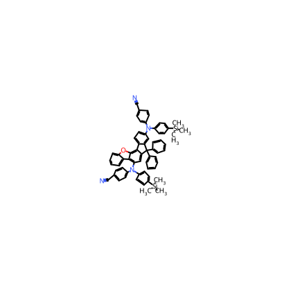 C[Si](C)(C)c1ccc(N(c2ccc(C#N)cc2)c2ccc3c(c2)C(c2ccccc2)(c2ccccc2)c2cc(N(c4ccc(C#N)cc4)c4ccc([Si](C)(C)C)cc4)c4c(oc5ccccc54)c2-3)cc1